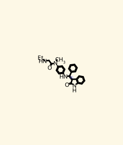 CCNCC(=O)N(C)c1ccc(N/C(=C2\C(=O)Nc3ccccc32)c2ccccc2)cc1